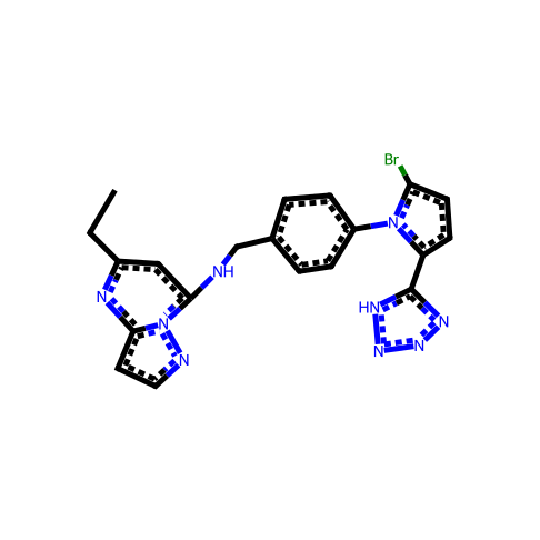 CCc1cc(NCc2ccc(-n3c(Br)ccc3-c3nnn[nH]3)cc2)n2nccc2n1